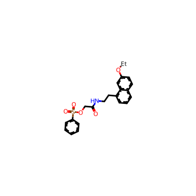 CCOc1ccc2cccc(CCNC(=O)COS(=O)(=O)c3ccccc3)c2c1